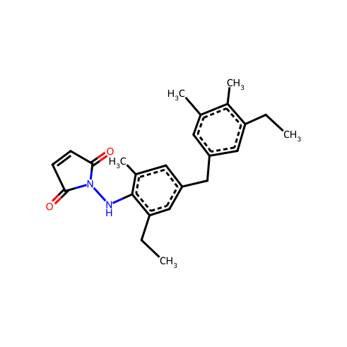 CCc1cc(Cc2cc(C)c(NN3C(=O)C=CC3=O)c(CC)c2)cc(C)c1C